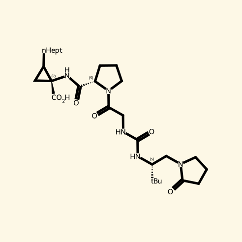 CCCCCCCC1C[C@]1(NC(=O)[C@@H]1CCCN1C(=O)CNC(=O)N[C@H](CN1CCCC1=O)C(C)(C)C)C(=O)O